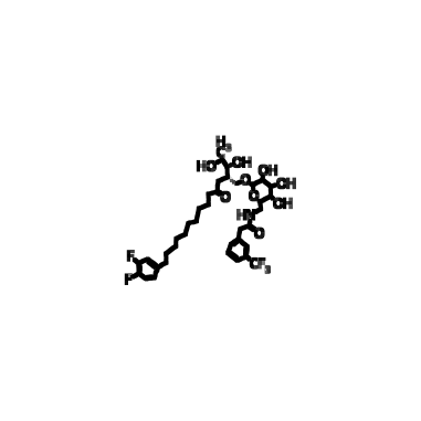 C[C@@H](O)[C@@H](O)[C@H](COC1OC(CNC(=O)Cc2cccc(C(F)(F)F)c2)C(O)C(O)C1O)CC(=O)CCCCCCCCCCc1ccc(F)c(F)c1